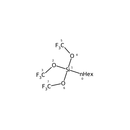 CCCCCC[Si](OC(F)(F)F)(OC(F)(F)F)OC(F)(F)F